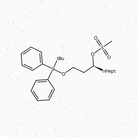 CCCCCCC[C@@H](CCO[Si](c1ccccc1)(c1ccccc1)C(C)(C)C)OS(C)(=O)=O